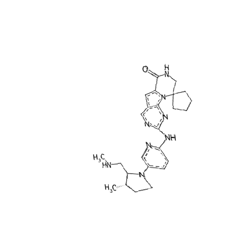 CNCC1[C@@H](C)CCN1c1ccc(Nc2ncc3cc4n(c3n2)C2(CCCC2)CNC4=O)nc1